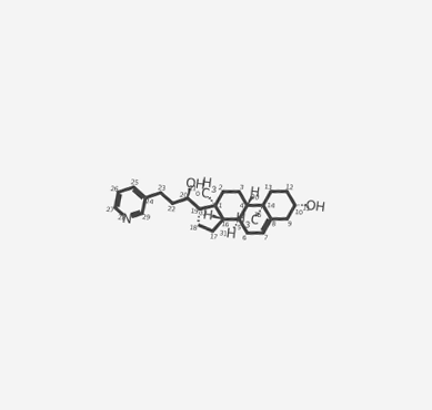 C[C@]12CC[C@H]3[C@@H](CC=C4C[C@@H](O)CC[C@@]43C)[C@@H]1CC[C@@H]2[C@H](O)CCc1cccnc1